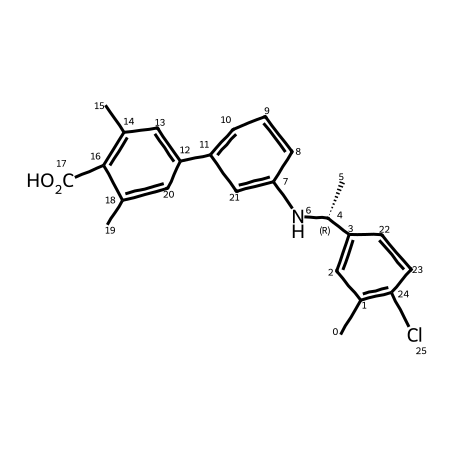 Cc1cc([C@@H](C)Nc2cccc(-c3cc(C)c(C(=O)O)c(C)c3)c2)ccc1Cl